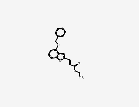 CCOC(=O)/C=C/c1cc2c(OCc3ccccc3)cccc2s1